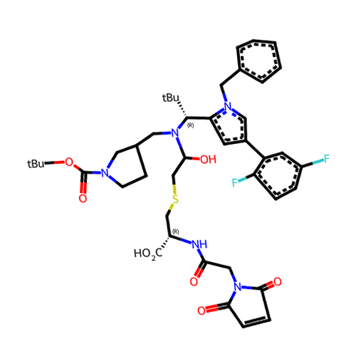 CC(C)(C)OC(=O)N1CCC(CN(C(O)CSC[C@H](NC(=O)CN2C(=O)C=CC2=O)C(=O)O)[C@@H](c2cc(-c3cc(F)ccc3F)cn2Cc2ccccc2)C(C)(C)C)C1